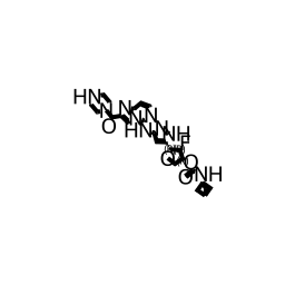 O=C(NC12CC(C1)C2)O[C@@H]1CO[C@H](c2cc(Nc3nccc4nc(C(=O)N5CCNCC5)cn34)n[nH]2)[C@H]1F